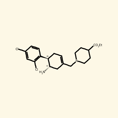 CCOC(=O)C1CCN(CC2=CC[C@H](c3ccc(Cl)cc3Cl)[C@@H](N)C2)CC1